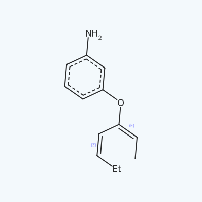 C/C=C(\C=C/CC)Oc1cccc(N)c1